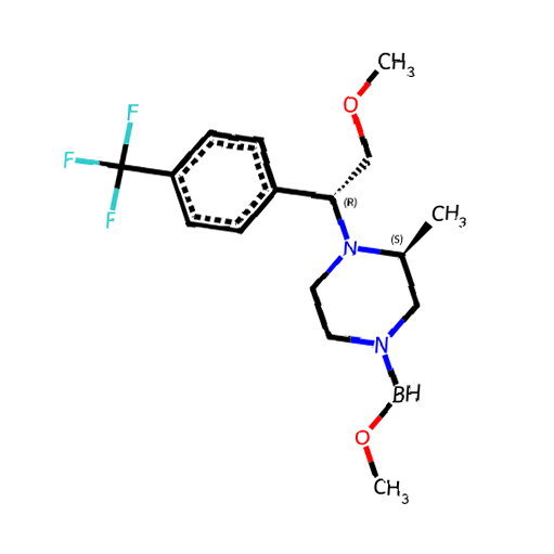 COBN1CCN([C@@H](COC)c2ccc(C(F)(F)F)cc2)[C@@H](C)C1